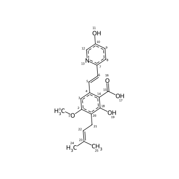 COc1cc(/C=C/c2ccc(O)cn2)c(C(=O)O)c(O)c1CC=C(C)C